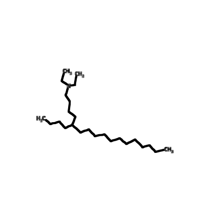 CCCCCCCCCCCCC(CCCC)CCCCN(CC)CC